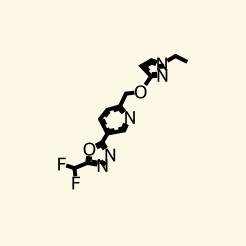 CCn1ccc(OCc2ccc(-c3nnc(C(F)F)o3)cn2)n1